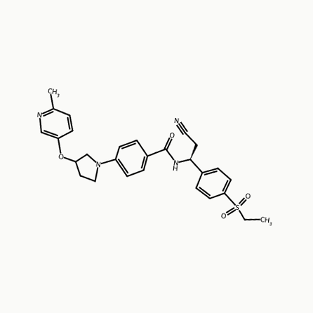 CCS(=O)(=O)c1ccc([C@H](CC#N)NC(=O)c2ccc(N3CCC(Oc4ccc(C)nc4)C3)cc2)cc1